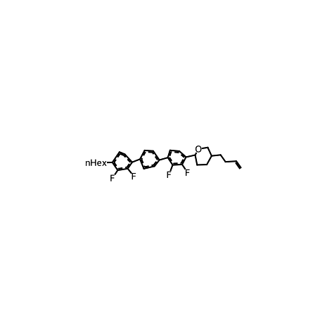 C=CCCC1CCC(c2ccc(-c3ccc(-c4ccc(CCCCCC)c(F)c4F)cc3)c(F)c2F)OC1